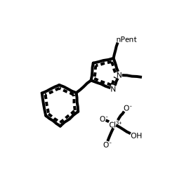 CCCCCc1cc(-c2ccccc2)nn1C.[O-][Cl+3]([O-])([O-])O